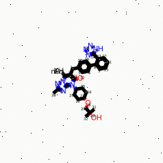 CCCc1c(Cc2ccc(-c3ccccc3-c3nnn[nH]3)cc2)c(=O)n(C2CCC(OCC(C)(C)O)CC2)c2nc(C)nn12.[KH]